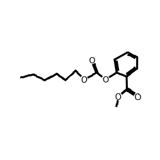 CCCCCCOC(=O)Oc1ccccc1C(=O)OC